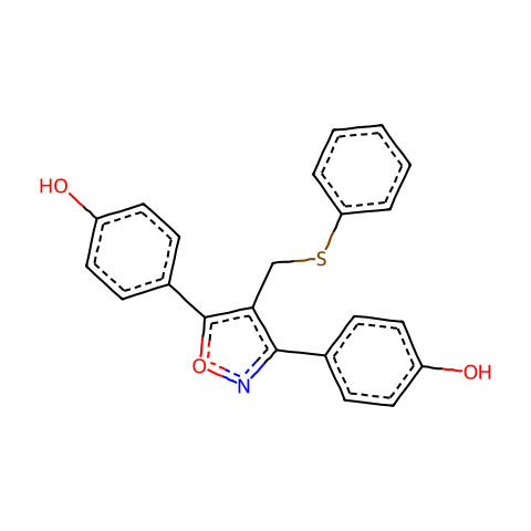 Oc1ccc(-c2noc(-c3ccc(O)cc3)c2CSc2ccccc2)cc1